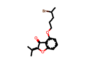 CC(C)=C1Oc2cccc(OCCCC(C)Br)c2C1=O